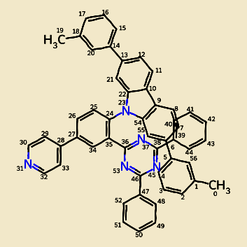 Cc1cccc(-c2ccc3c4ccc(-c5cccc(C)c5)cc4n(-c4ccc(-c5ccncc5)cc4-c4nc(-c5ccccc5)nc(-c5ccccc5)n4)c3c2)c1